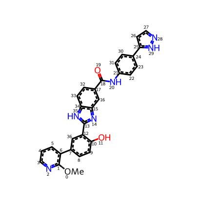 COc1ncccc1-c1ccc(O)c(-c2nc3cc(C(=O)Nc4ccc(-c5ccn[nH]5)cc4)ccc3[nH]2)c1